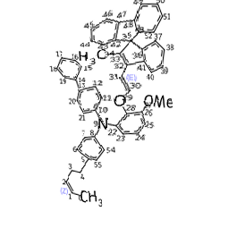 C/C=C\CCc1ccc(N(c2ccc(-c3ccccc3)cc2)c2cccc(OC)c2O/C=C/C2=C(C)C3(c4ccccc42)c2ccccc2-c2ccccc23)cc1